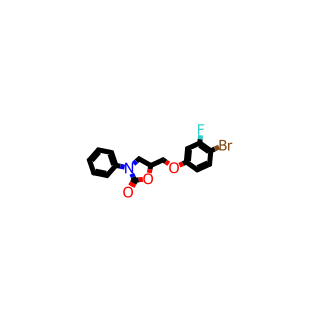 O=C1OC(COc2ccc(Br)c(F)c2)CN1c1ccccc1